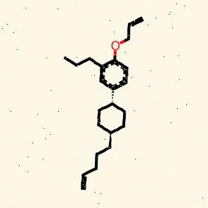 C=CCCC[C@H]1CC[C@H](c2ccc(OCC=C)c(CCC)c2)CC1